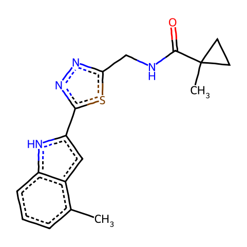 Cc1cccc2[nH]c(-c3nnc(CNC(=O)C4(C)CC4)s3)cc12